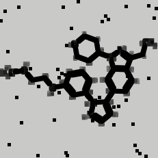 CCc1nn(C2CCOCC2)c2cc(-c3ccnn3-c3cccc(OCCOC)c3)ccc12